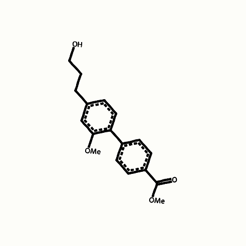 COC(=O)c1ccc(-c2ccc(CCCO)cc2OC)cc1